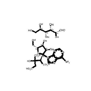 Nc1ncnc2c1ncn2[C@]1(C(C(=O)O)C(O)(CC(=O)O)C(=O)O)O[C@H](CO)[C@@H](O)[C@H]1O.O=C[C@H](O)[C@@H](O)[C@H](O)[C@H](O)CO